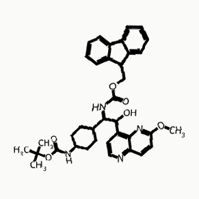 COc1ccc2nccc(C(O)C(NC(=O)OCC3c4ccccc4-c4ccccc43)C3CCC(NC(=O)OC(C)(C)C)CC3)c2n1